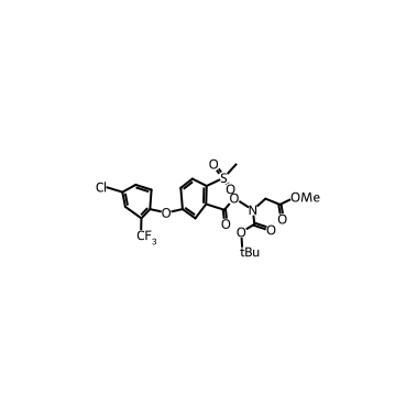 COC(=O)CN(OC(=O)c1cc(Oc2ccc(Cl)cc2C(F)(F)F)ccc1S(C)(=O)=O)C(=O)OC(C)(C)C